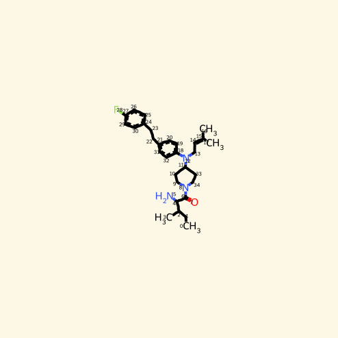 CCC(C)C(N)C(=O)N1CCC(N(CC=C(C)C)c2ccc(CCc3ccc(F)cc3)cc2)CC1